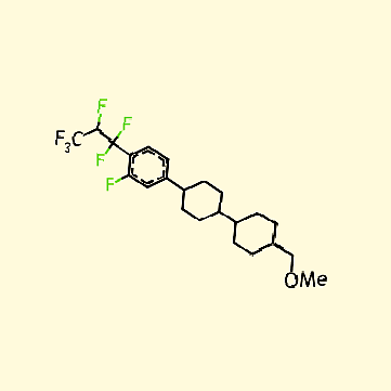 COCC1CCC(C2CCC(c3ccc(C(F)(F)C(F)C(F)(F)F)c(F)c3)CC2)CC1